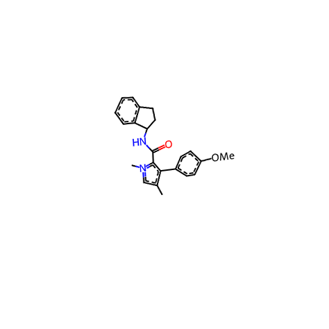 COc1ccc(-c2c(C)cn(C)c2C(=O)NC2CCc3ccccc32)cc1